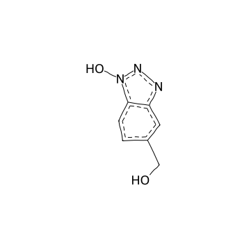 OCc1ccc2c(c1)nnn2O